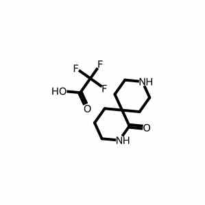 O=C(O)C(F)(F)F.O=C1NCCCC12CCNCC2